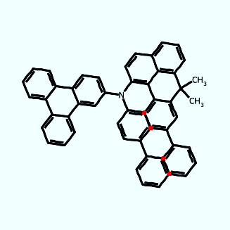 CC1(C)c2cc(-c3ccccc3)ccc2-c2c(N(c3ccc(-c4ccccc4)cc3)c3ccc4c5ccccc5c5ccccc5c4c3)ccc3cccc1c23